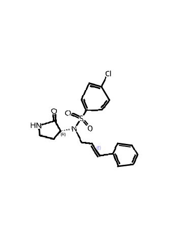 O=C1NCC[C@H]1N(C/C=C/c1ccccc1)S(=O)(=O)c1ccc(Cl)cc1